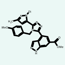 CCn1nc(C)cc1-c1nnc(-c2cc(C(=O)OC)cc3[nH]ncc23)n1Cc1ccc(OC)cc1